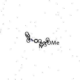 COC(=O)c1cc2c(Oc3ccc(/C=C/C(=O)N4CCOCC4)cc3)cncc2s1